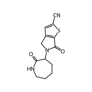 N#Cc1cc2c(s1)C(=O)N(C1CCCCNC1=O)C2